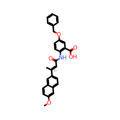 COc1ccc2cc(/C(C)=C/C(=O)Nc3ccc(OCc4ccccc4)cc3C(=O)O)ccc2c1